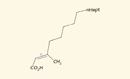 CCCCCCCCCCCC/C(C)=C/C(=O)O